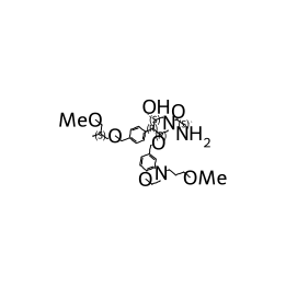 COCCCN1CCOc2ccc(CO[C@H]3CN(C(=O)[C@H](C)N)C[C@@H](CO)[C@@H]3c3ccc(COC[C@@H](C)COC)cc3)cc21